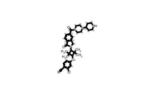 CC1(C)C(Oc2ccc(C#N)c(Cl)c2)C(C)(C)C1N1Cc2cc(C(=O)N3CCN(C4CCNCC4)CC3)ccc2C1=O